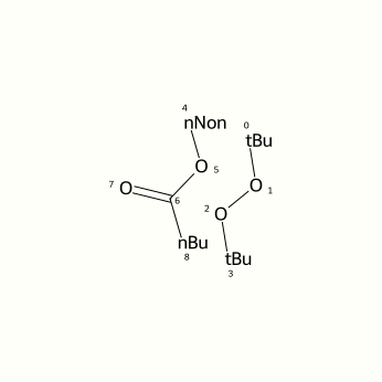 CC(C)(C)OOC(C)(C)C.CCCCCCCCCOC(=O)CCCC